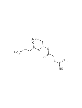 C=C(CCC(=O)SC(CNC(C)=O)SC(=O)CCC(=O)O)N=O